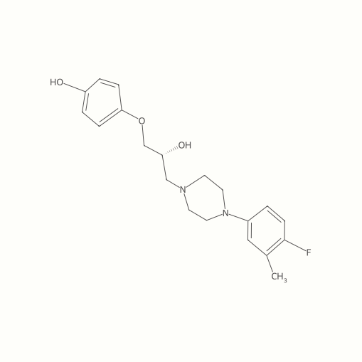 Cc1cc(N2CCN(C[C@@H](O)COc3ccc(O)cc3)CC2)ccc1F